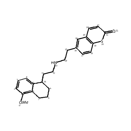 COc1cccc2c1CCCC2CCNCCc1ccc2sc(=O)ccc2c1